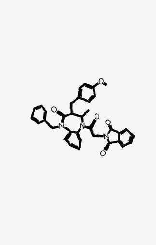 COc1ccc(CC2C(=O)N(Cc3ccccc3)c3ccccc3N(C(=O)CN3C(=O)c4ccccc4C3=O)C2C)cc1